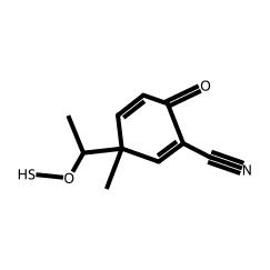 CC(OS)C1(C)C=CC(=O)C(C#N)=C1